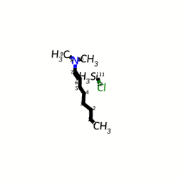 CCCCCCC=CN(C)C.[SiH3]Cl